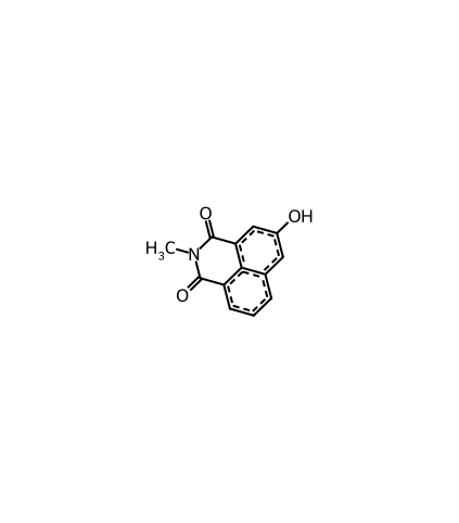 CN1C(=O)c2cccc3cc(O)cc(c23)C1=O